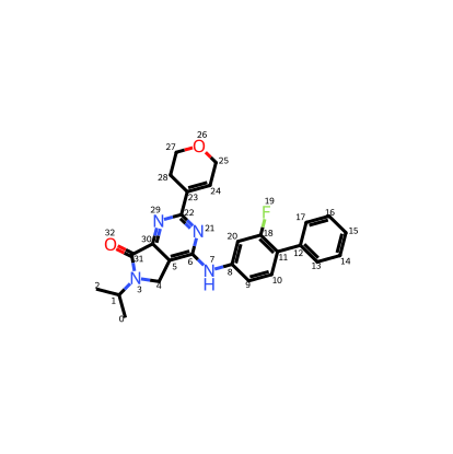 CC(C)N1Cc2c(Nc3ccc(-c4ccccc4)c(F)c3)nc(C3=CCOCC3)nc2C1=O